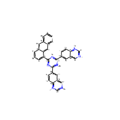 c1ccc2cc3c(-c4nc(-c5ccc6ncncc6c5)nc(-c5ccc6ncncc6c5)n4)cccc3cc2c1